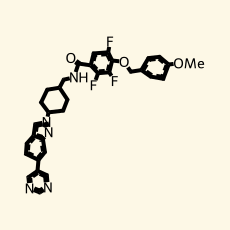 COc1ccc(COc2c(F)cc(C(=O)NCC3CCC(n4cc5ccc(-c6cncnc6)cc5n4)CC3)c(F)c2F)cc1